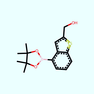 CC1(C)OB(c2cccc3sc(CO)cc23)OC1(C)C